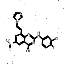 O=[N+]([O-])c1cc(C=Cn2ccnc2)c2nc(Nc3ccc(Cl)c(Cl)c3)nc(O)c2c1